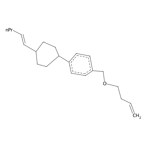 C=CCCOCc1ccc(C2CCC(C=CCCC)CC2)cc1